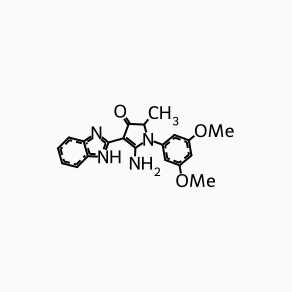 COc1cc(OC)cc(N2C(N)=C(c3nc4ccccc4[nH]3)C(=O)C2C)c1